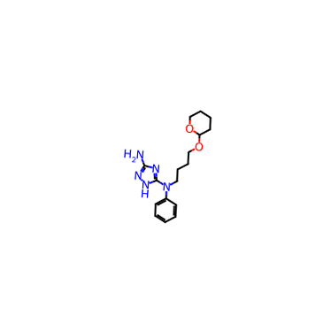 Nc1n[nH]c(N(CCCCOC2CCCCO2)c2ccccc2)n1